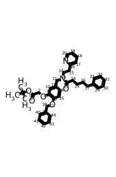 CC(C)(C)OC(=O)COc1cc(CN(CCc2ccccn2)C(=O)CCCCc2ccccc2)ccc1OCc1ccccc1